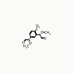 CON(C=O)c1ccc(C)c(N(C=O)OC)c1